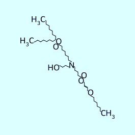 CCCCCCCCOCC=CCOC(=O)CCCCN(CCCCO)CCCCCCCC(=O)OC(CCCCCCCC)CCCCCCCC